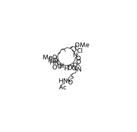 COc1cc2cc(c1Cl)N(C)C(=O)C[C@H](OC(=O)[C@H](C)N(C)C(=O)CCSCC(=O)NCCC(C)=O)[C@]1(C)O[C@H]1[C@H](C)[C@@H]1C[C@@](O)(NC(=O)O1)[C@H](OC)/C=C/C=C(\C)C2